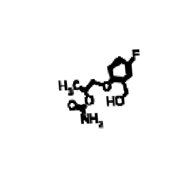 CC(COc1ccc(F)cc1CO)OC(N)=O